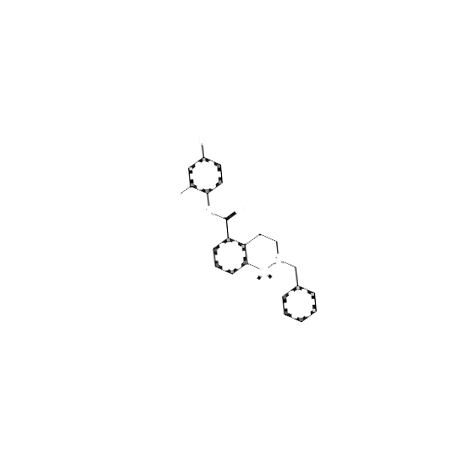 O=C(O)c1cc(Br)ccc1NC(=O)c1cccc2c1CCN(Cc1ccccc1)S2(=O)=O